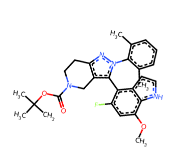 COc1cc(F)c(-c2c3c(nn2-c2c(C)cccc2C)CCN(C(=O)OC(C)(C)C)C3)c2cc[nH]c12